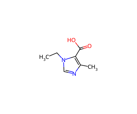 CCn1cnc(C)c1C(=O)O